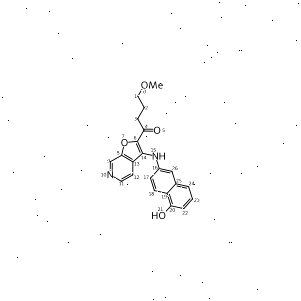 COCCCC(=O)c1oc2cnccc2c1Nc1ccc2c(O)cccc2c1